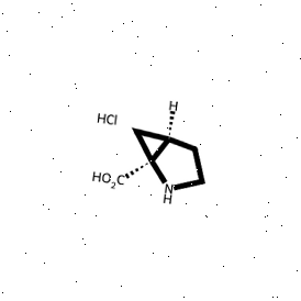 Cl.O=C(O)[C@]12C[C@H]1CCN2